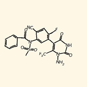 CS(=O)(=O)N(C(=O)c1ccccc1)c1cc(-c2c(C(F)(F)F)n(N)c(=O)[nH]c2=O)c(F)cc1C#N